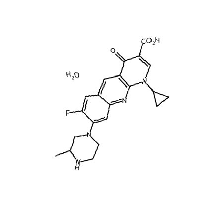 CC1CN(c2cc3nc4c(cc3cc2F)c(=O)c(C(=O)O)cn4C2CC2)CCN1.O